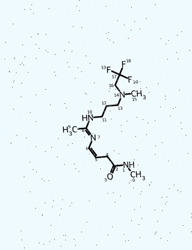 CNC(=O)C/C=C\N=C(/C)NCCCN(C)CC(F)(F)F